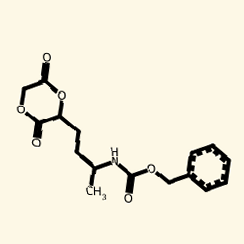 CC(CCC1OC(=O)COC1=O)NC(=O)OCc1ccccc1